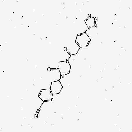 N#Cc1ccc2c(c1)CCC(N1CCN(C(=O)Cc3ccc(-n4cnnn4)cc3)CC1=O)C2